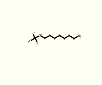 FC(F)(F)SCCCCCCCBr